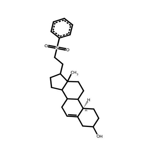 CC12CCC3C(CC=C4CC(O)CC[C@@H]43)C1CCC2CCS(=O)(=O)c1ccccc1